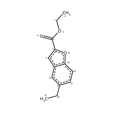 CCOC(=O)c1cc2cc(CC)ccc2o1